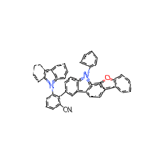 N#Cc1cccc(-n2c3c(c4ccccc42)CCC=C3)c1-c1ccc2c(c1)c1ccc3c4ccccc4oc3c1n2-c1ccccc1